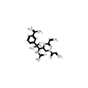 C=CC(=O)OCC(OC(=O)C=C)C(NC(=O)O)C(C)(C)c1cccc(C(=C)C)c1